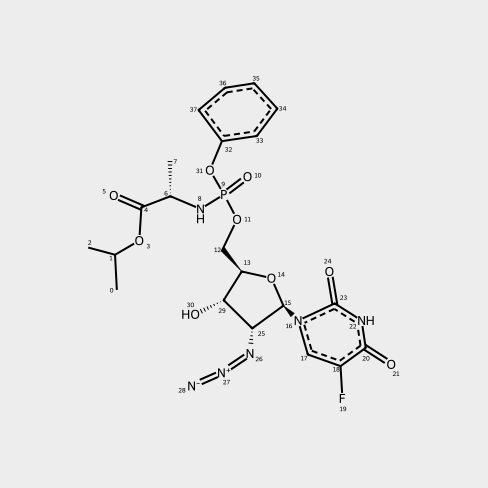 CC(C)OC(=O)[C@H](C)NP(=O)(OC[C@H]1O[C@@H](n2cc(F)c(=O)[nH]c2=O)[C@H](N=[N+]=[N-])[C@@H]1O)Oc1ccccc1